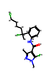 Cc1nn(C)c(F)c1C(=O)Nc1ccccc1C(C)(F)CCCCCl